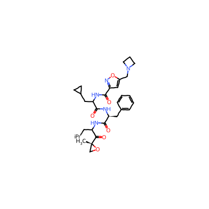 CC(C)CC(NC(=O)[C@H](Cc1ccccc1)NC(=O)C(CC1CC1)NC(=O)c1cc(CN2CCC2)on1)C(=O)[C@@]1(C)CO1